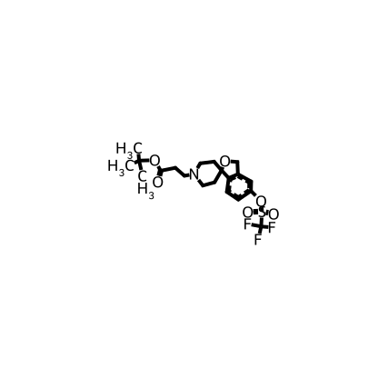 CC(C)(C)OC(=O)CCN1CCC2(CC1)OCc1cc(OS(=O)(=O)C(F)(F)F)ccc12